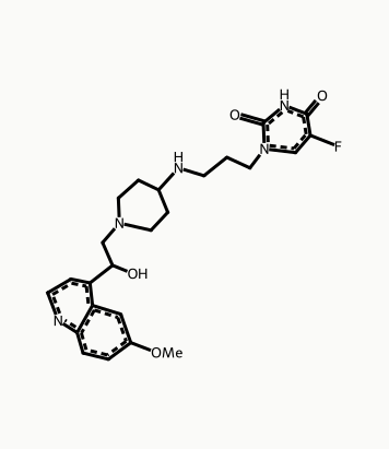 COc1ccc2nccc(C(O)CN3CCC(NCCCn4cc(F)c(=O)[nH]c4=O)CC3)c2c1